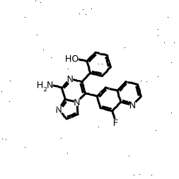 Nc1nc(-c2ccccc2O)c(-c2cc(F)c3ncccc3c2)n2ccnc12